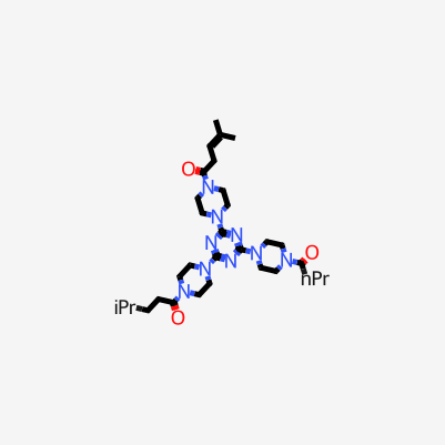 CCCC(=O)N1CCN(c2nc(N3CCN(C(=O)CC=C(C)C)CC3)nc(N3CCN(C(=O)CCC(C)C)CC3)n2)CC1